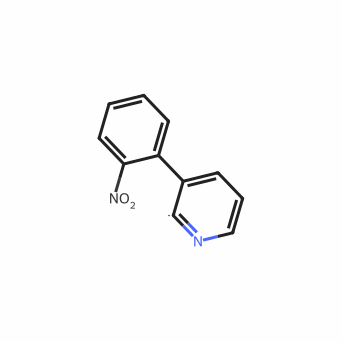 O=[N+]([O-])c1ccccc1-c1[c]nccc1